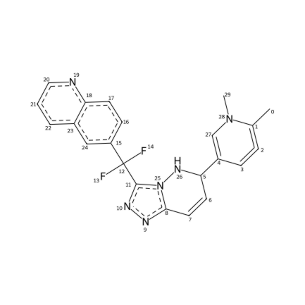 CC1=C=CC(C2C=Cc3nnc(C(F)(F)c4ccc5ncccc5c4)n3N2)=CN1C